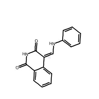 O=C1NC(=O)c2ccccc2/C1=C/Nc1ccccc1